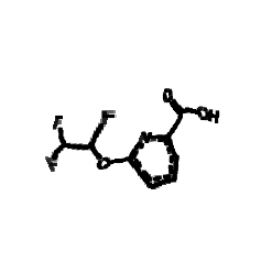 O=C(O)c1cccc(OC(F)C(F)F)n1